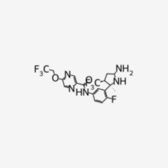 C[C@@]1(c2cc(NC(=O)c3cnc(OCC(F)(F)F)cn3)ccc2F)NC(N)C[C@@H]1C(F)(F)F